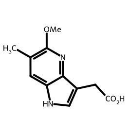 COc1nc2c(CC(=O)O)c[nH]c2cc1C